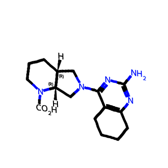 Nc1nc2c(c(N3C[C@H]4CCCN(C(=O)O)[C@H]4C3)n1)CCCC2